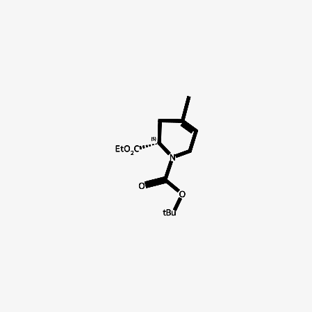 CCOC(=O)[C@@H]1CC(C)=CCN1C(=O)OC(C)(C)C